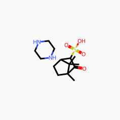 C1CNCCN1.CC12CCC(C(S(=O)(=O)O)C1=O)C2(C)C